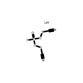 N#CSOP(=O)(F)OSC#N.[LiH]